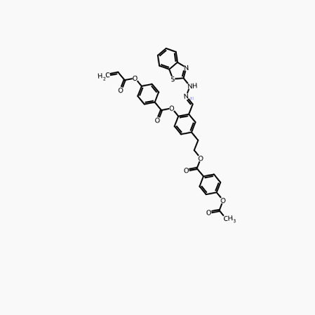 C=CC(=O)Oc1ccc(C(=O)Oc2ccc(CCOC(=O)c3ccc(OC(C)=O)cc3)cc2/C=N/Nc2nc3ccccc3s2)cc1